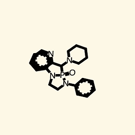 O=P1(C(c2ccccn2)N2CCCCC2)N(c2ccccc2)CCN1c1ccccc1